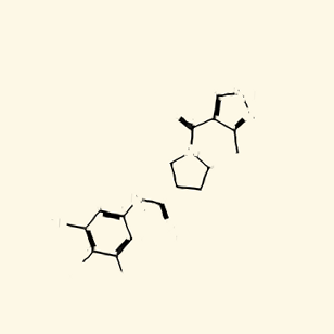 Cc1n[nH]cc1C(=O)N1CC[C@H](C(=O)Nc2cc(F)c(F)c(F)c2)C1